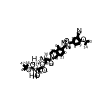 Cc1c(-c2noc(-c3ccc(OC(C)C)c(C#N)c3)n2)ccc2c1CCN(C(=O)[C@](C)(N)COC(=O)[C@@](C)(CO)NC(=O)OC(C)(C)C)C2